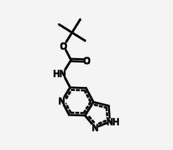 CC(C)(C)OC(=O)Nc1cc2c[nH]nc2cn1